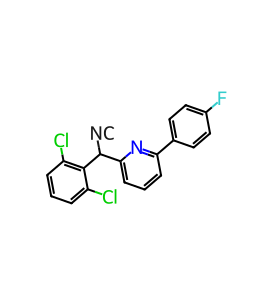 [C-]#[N+]C(c1cccc(-c2ccc(F)cc2)n1)c1c(Cl)cccc1Cl